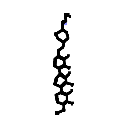 C/C=C/C1CCC(CCc2ccc(-c3ccc(-c4ccc(OCC)c(F)c4F)c(F)c3F)c(F)c2F)CO1